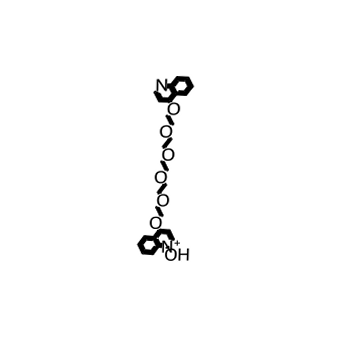 O[n+]1ccc(OCCOCCOCCOCCOCCOc2ccnc3ccccc23)c2ccccc21